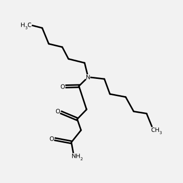 CCCCCCN(CCCCCC)C(=O)CC(=O)CC(N)=O